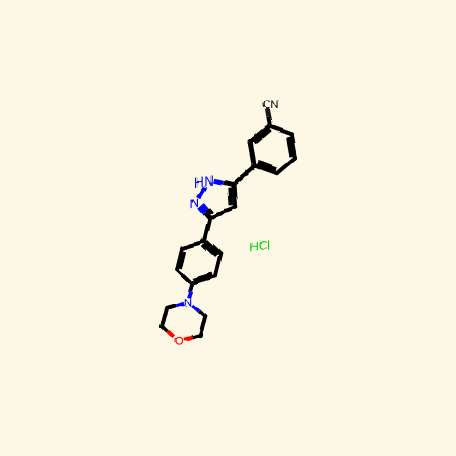 Cl.N#Cc1cccc(-c2cc(-c3ccc(N4CCOCC4)cc3)n[nH]2)c1